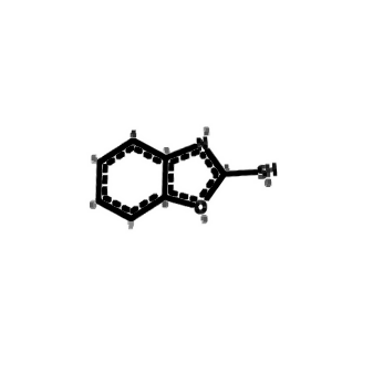 Sc1nc2[c]cccc2o1